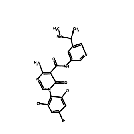 CN[C@@H](C)c1cncc(NC(=O)c2c(N)ncn(-c3c(Cl)cc(Br)cc3Cl)c2=O)c1